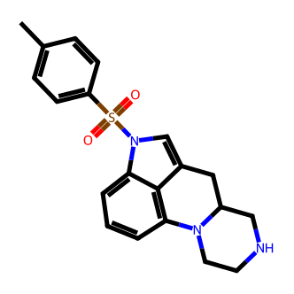 Cc1ccc(S(=O)(=O)n2cc3c4c(cccc42)N2CCNCC2C3)cc1